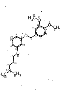 COc1ccc(COc2cncc(OCCCN(C)C)c2)cc1OC